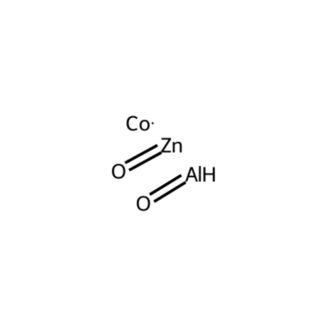 [Co].[O]=[AlH].[O]=[Zn]